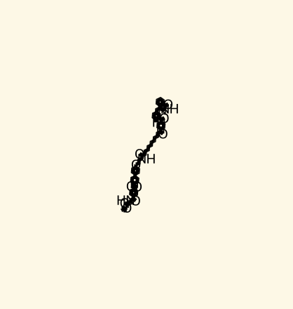 CC(C)(C)OC(=O)CNC(=O)c1ccc(S(=O)(=O)N2CCC(c3ccc(OCCNC(=O)CCCCCCCCCCC(=O)N4CCN(C(=O)c5cc(Cc6n[nH]c(=O)c7ccccc67)ccc5F)CC4)cc3)CC2)cc1